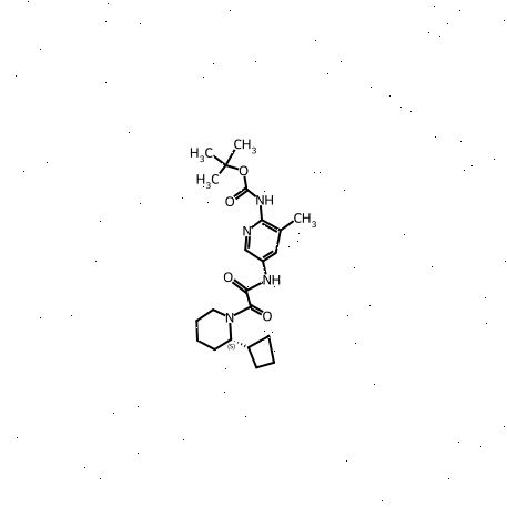 Cc1cc(NC(=O)C(=O)N2CCCC[C@H]2C2CCC2)cnc1NC(=O)OC(C)(C)C